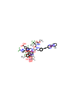 COC(=O)N[C@H](C(=O)N[C@@H](Cc1ccc(C#Cc2cnc(N3CC4CC[C@H](C3)N4C3COC3)nc2)cc1)[C@H](CN(Cc1c(F)cc(-c2ccn(C(F)F)n2)cc1F)NC(=O)[C@@H](NC(=O)OC)C(C)(C)C(F)(F)F)OC(=O)CC(C)(C)c1c(CC(=O)NC2CC(C(=O)O)C2)cc(C)cc1OP(=O)(O)O)C(C)(C)C(F)(F)F